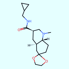 CN1C[C@H](C(=O)NCC2CC2)C[C@@H]2CC3(CC[C@H]21)OCCO3